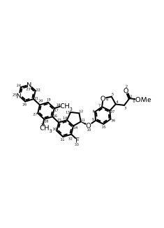 COC(=O)CC1COc2cc(O[C@@H]3CCc4c(-c5c(C)cc(-c6cncnc6)cc5C)ccc(F)c43)ccc21